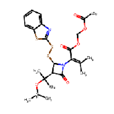 CC(C)=C(C(=O)OCOC(=O)C(C)(C)C)N1C(=O)[C@@H](C(C)(O[SiH](C)C)C(C)(C)C)[C@H]1SSc1nc2ccccc2s1